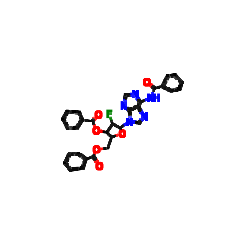 O=C(Nc1ncnc2c1ncn2C1OC(COC(=O)c2ccccc2)[C@@H](OC(=O)c2ccccc2)C1F)c1ccccc1